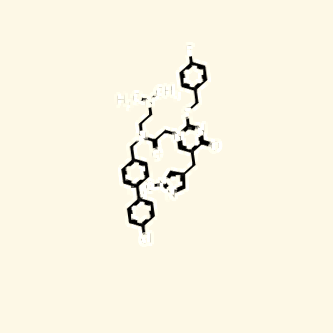 CN(C)CCN(Cc1ccc(-c2ccc(Cl)cc2)cc1)C(=O)Cn1cc(Cc2cnn(C)c2)c(=O)nc1SCc1ccc(F)cc1